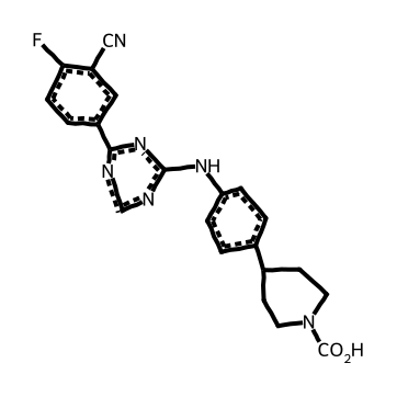 N#Cc1cc(-c2ncnc(Nc3ccc(C4CCN(C(=O)O)CC4)cc3)n2)ccc1F